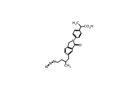 CC(CCN=[N+]=[N-])Cc1ccc2c(c1)C(=O)N(c1ccc(C(C)C(=O)O)cc1)C2